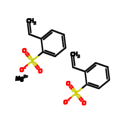 C=Cc1ccccc1S(=O)(=O)[O-].C=Cc1ccccc1S(=O)(=O)[O-].[Mg+2]